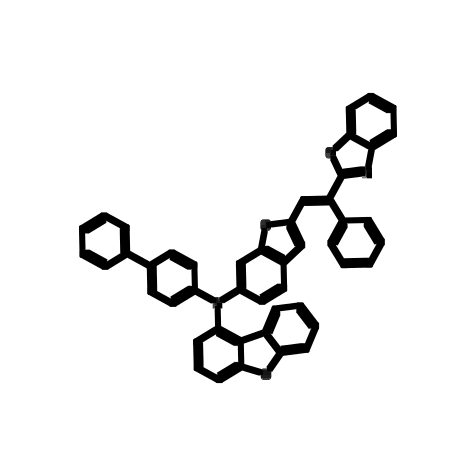 C(=C(/c1ccccc1)c1nc2ccccc2o1)/c1cc2ccc(N(c3ccc(-c4ccccc4)cc3)c3cccc4oc5ccccc5c34)cc2o1